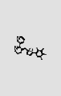 Cc1cc(-c2ccc(/C=C3\CCCN=C3c3cccnc3)o2)c(C)c(C)c1C